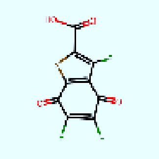 O=C(O)c1sc2c(c1F)C(=O)C(F)=C(F)C2=O